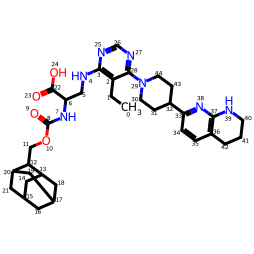 CCc1c(NCC(NC(=O)OCC2C3CC4CC(C3)CC2C4)C(=O)O)ncnc1N1CCC(c2ccc3c(n2)NCCC3)CC1